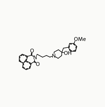 COc1cccc(CC2(O)CCN(CCCCN3C(=O)c4cccc5cccc(c45)C3=O)CC2)c1